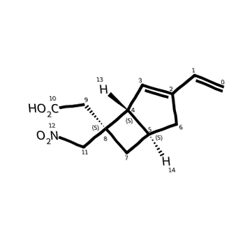 C=CC1=C[C@@H]2[C@@H](C1)C[C@@]2(CC(=O)O)C[N+](=O)[O-]